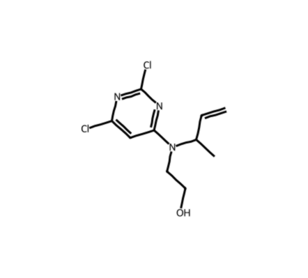 C=CC(C)N(CCO)c1cc(Cl)nc(Cl)n1